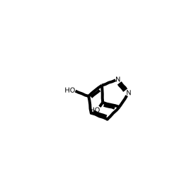 Oc1ccc2c(O)c1N=N2